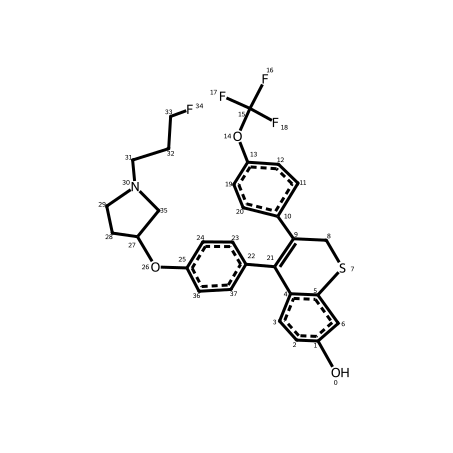 Oc1ccc2c(c1)SCC(c1ccc(OC(F)(F)F)cc1)=C2c1ccc(OC2CCN(CCCF)C2)cc1